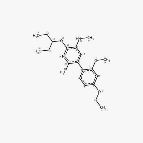 CCOc1ccc(-c2nc(NC)c(OC(CC)CC)nc2C)c(OC)c1